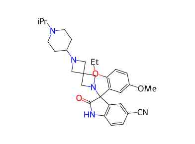 CCOc1ccc(OC)cc1C1(N2CC3(CN(C4CCN(C(C)C)CC4)C3)C2)C(=O)Nc2ccc(C#N)cc21